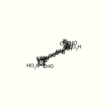 O=CCN1CCN(CC(=O)O)CCN(CC(=O)O)CCN(CC(=O)NCCCOCCOCCOCCCNC(=O)CCC(=O)NC(CC(=O)O)C(=O)NC(C=O)Cc2ccccc2Cl)CC1